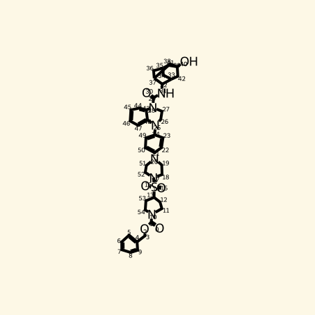 O=C(OCc1ccccc1)N1CCC(S(=O)(=O)N2CCN(c3ccc(N4CCN(C(=O)NC5C6CC7CC5CC(O)(C7)C6)c5ccccc54)cc3)CC2)CC1